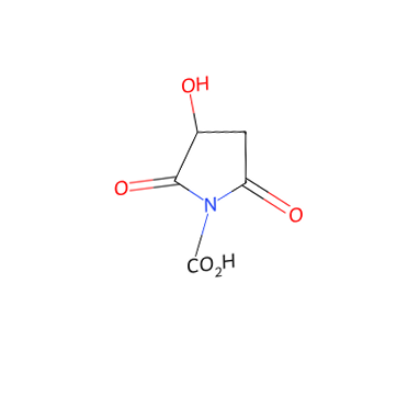 O=C(O)N1C(=O)CC(O)C1=O